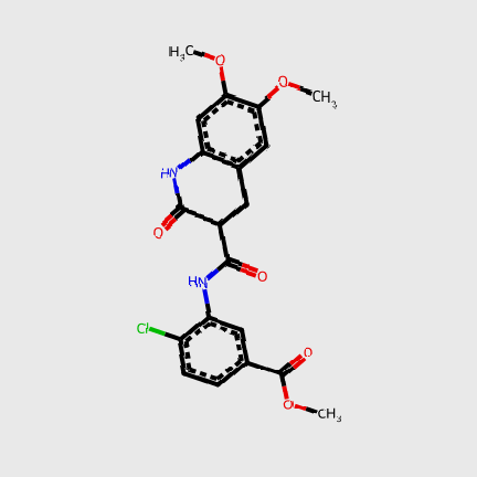 COC(=O)c1ccc(Cl)c(NC(=O)C2Cc3cc(OC)c(OC)cc3NC2=O)c1